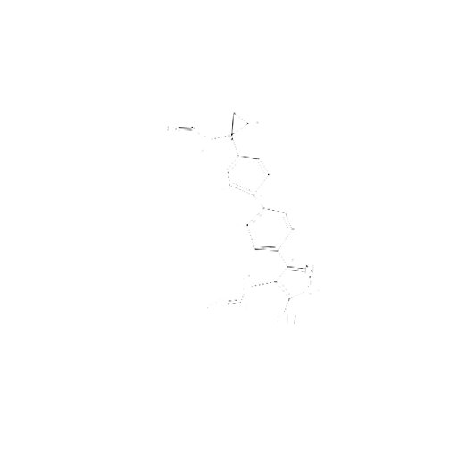 Cc1snc(-c2ccc(-c3ccc(C4(OC=O)CC4)cc3)cc2)c1OC=O